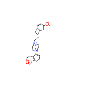 COc1ccc2c(c1)[C@@H](CCN1CCN(c3cccc4c3CCOO4)CC1)C2